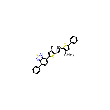 CCCCCCc1cc(-c2ccccc2)sc1/C=C/c1sc(-c2ccc(-c3ccccc3)c3nsnc23)cc1CCCCCC